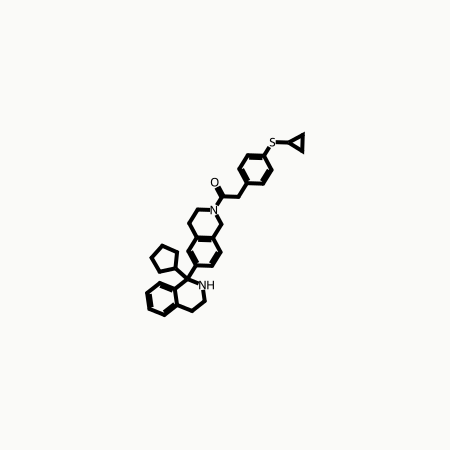 O=C(Cc1ccc(SC2CC2)cc1)N1CCc2cc(C3(C4CCCC4)NCCc4ccccc43)ccc2C1